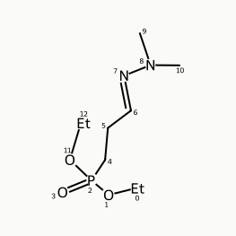 CCOP(=O)(CCC=NN(C)C)OCC